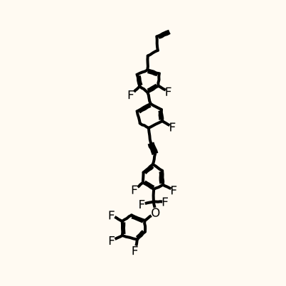 C=CCCc1cc(F)c(C2=CCC(C#Cc3cc(F)c(C(F)(F)Oc4cc(F)c(F)c(F)c4)c(F)c3)C(F)=C2)c(F)c1